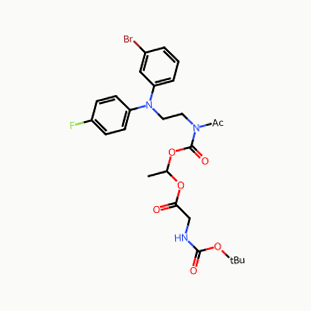 CC(=O)N(CCN(c1ccc(F)cc1)c1cccc(Br)c1)C(=O)OC(C)OC(=O)CNC(=O)OC(C)(C)C